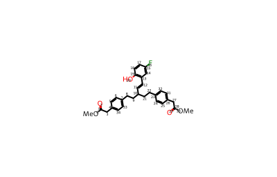 COC(=O)Cc1ccc(CCC(/C=C/c2cc(F)ccc2O)CCc2ccc(CC(=O)OC)cc2)cc1